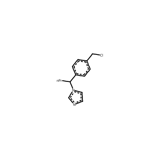 CCCC(c1ccc(CCl)cc1)n1ccnc1